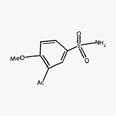 COc1ccc(S(N)(=O)=O)cc1C(C)=O